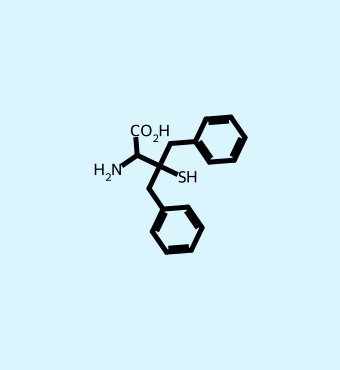 NC(C(=O)O)C(S)(Cc1ccccc1)Cc1ccccc1